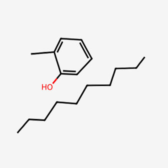 CCCCCCCCCC.Cc1ccccc1O